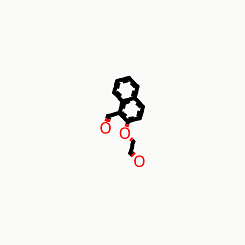 O=CCOc1ccc2ccccc2c1C=O